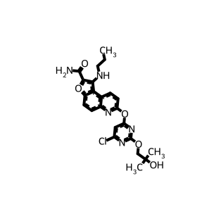 CCCNc1c(C(N)=O)oc2ccc3nc(Oc4cc(Cl)nc(OCC(C)(C)O)n4)ccc3c12